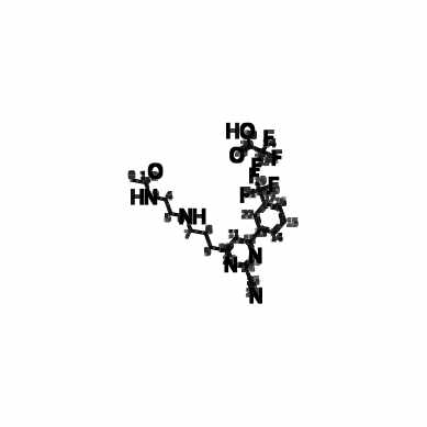 CC(=O)NCCNCCCc1cc(-c2cccc(C(F)(F)F)c2)nc(C#N)n1.O=C(O)C(F)(F)F